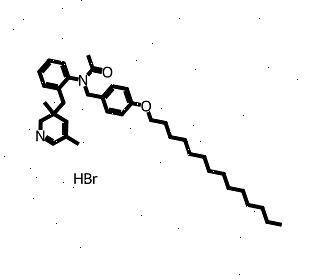 Br.CCCCCCCCCCCCCCOc1ccc(CN(C(C)=O)c2ccccc2CC2(C)C=C(C)C=NC2)cc1